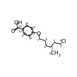 C[C@@H](CCCl)CCCOc1ccc(C(=O)O)cc1